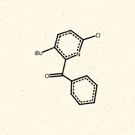 CCC(C)c1ccc(Cl)nc1C(=O)c1ccccc1